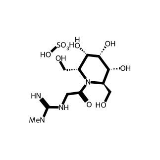 CNC(=N)NCC(=O)N1[C@H](CO)[C@H](O)[C@H](O)[C@H](O)[C@H]1CO.O=S(=O)(O)O